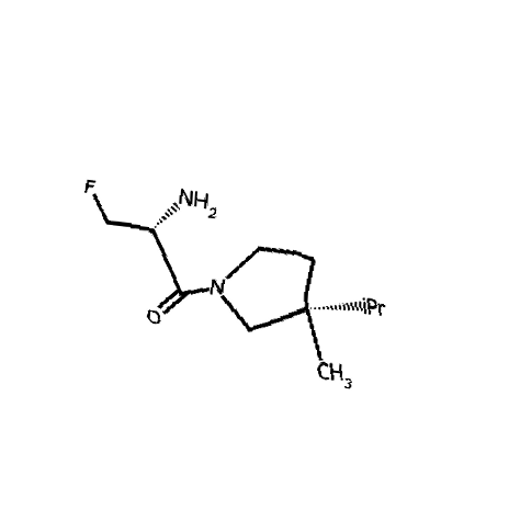 CC(C)[C@@]1(C)CCN(C(=O)[C@@H](N)CF)C1